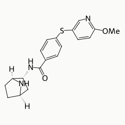 COc1ccc(Sc2ccc(C(=O)N[C@@H]3C[C@H]4CC[C@@H]3N4)cc2)cn1